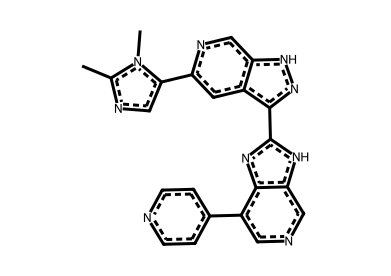 Cc1ncc(-c2cc3c(-c4nc5c(-c6ccncc6)cncc5[nH]4)n[nH]c3cn2)n1C